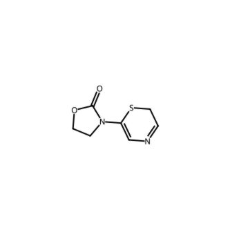 O=C1OCCN1C1=CN=CCS1